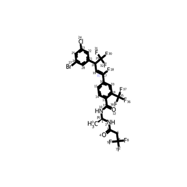 C[C@H](NC(=O)CC(F)(F)F)NC(=O)c1ccc(/C(F)=C/C(c2cc(Cl)cc(Br)c2)C(F)(F)F)cc1C(F)(F)F